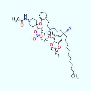 CCCCCCCCCCCCC(C#N)(CCCN(C)CCc1ccccc1OC1(C(C)O[N+](=O)[O-])CCN(NC(C)=O)CC1)c1cc(OC)c(OC)c(OC)c1